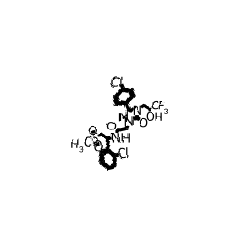 CS(=O)(=O)CC(NC(=O)Cn1nc(-c2ccc(Cl)cc2)n(C[C@H](O)C(F)(F)F)c1=O)c1ccccc1Cl